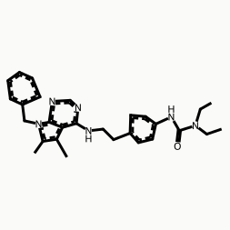 CCN(CC)C(=O)Nc1ccc(CCNc2ncnc3c2c(C)c(C)n3Cc2ccccc2)cc1